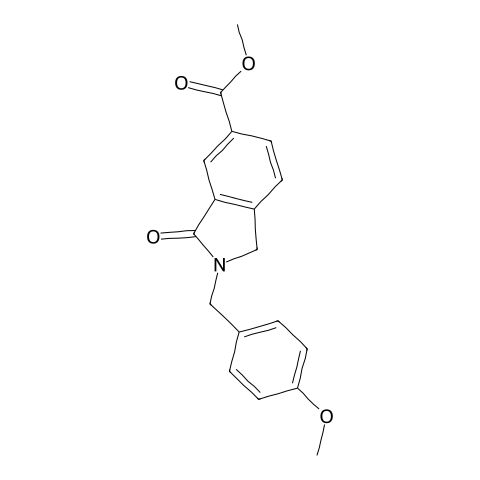 COC(=O)c1ccc2c(c1)C(=O)N(Cc1ccc(OC)cc1)C2